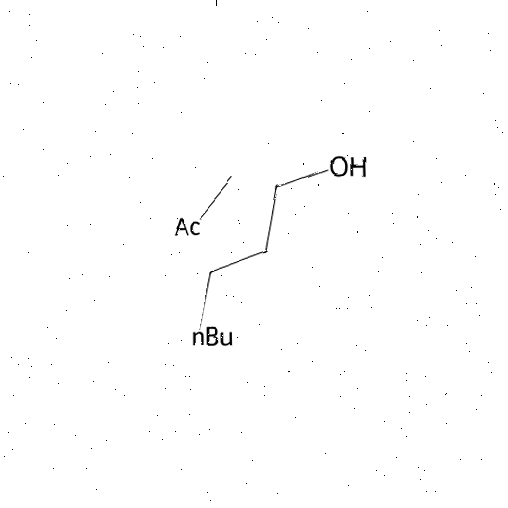 CC(C)=O.CCCCCCCO